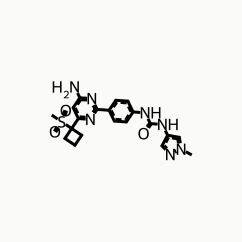 Cn1cc(NC(=O)Nc2ccc(-c3nc(N)cc(C4(S(C)(=O)=O)CCC4)n3)cc2)cn1